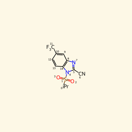 CC(C)S(=O)(=O)n1c(C#N)nc2cc(C(F)(F)F)ccc21